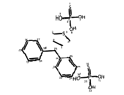 CC.CSC.OP(O)(O)=S.OP(O)(O)=S.c1ccc(Cc2ccccc2)cc1